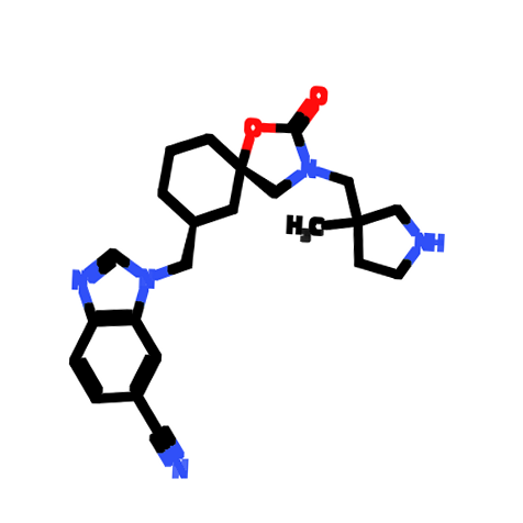 CC1(CN2C[C@@]3(CCC[C@H](Cn4cnc5ccc(C#N)cc54)C3)OC2=O)CCNC1